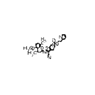 COc1ccc(C)cc1[C@@H](C)CC(=O)Nc1sc2c(c1C#N)CCN(C(=O)OCCc1ccccn1)C2